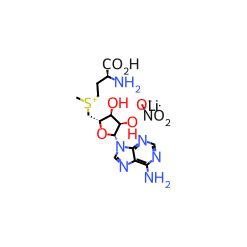 C[S+](CC[C@H](N)C(=O)O)C[C@H]1O[C@@H](n2cnc3c(N)ncnc32)[C@H](O)[C@@H]1O.O=[N+]([O-])[O-].[Li]